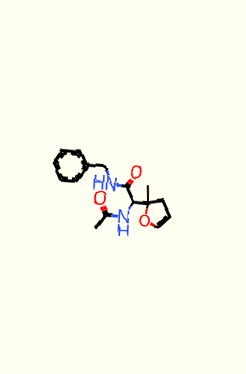 CC(=O)NC(C(=O)NCc1ccccc1)C1(C)CC=CO1